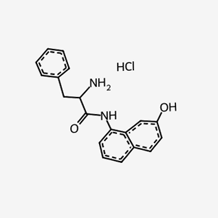 Cl.NC(Cc1ccccc1)C(=O)Nc1cccc2ccc(O)cc12